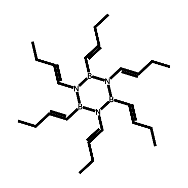 CCC=CB1N(C=CCC)B(C=CCC)N(C=CCC)B(C=CCC)N1C=CCC